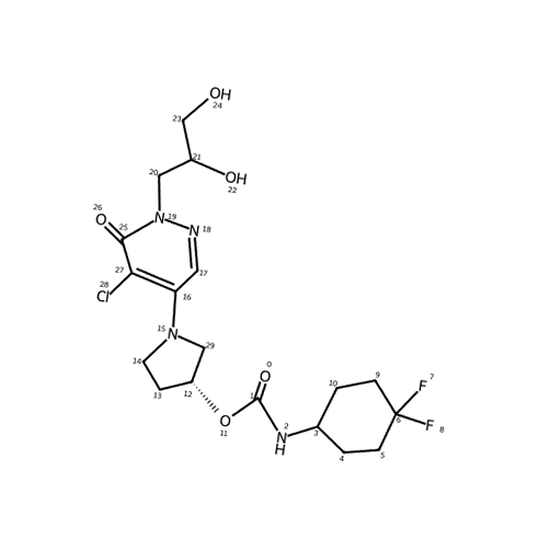 O=C(NC1CCC(F)(F)CC1)O[C@@H]1CCN(c2cnn(CC(O)CO)c(=O)c2Cl)C1